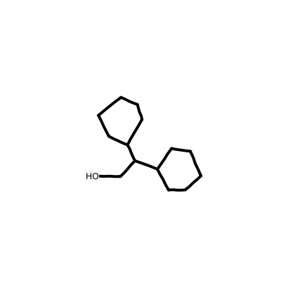 OCC(C1CCCCC1)C1CCCCC1